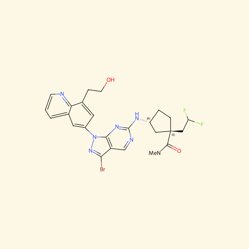 CNC(=O)[C@@]1(CC(F)F)CC[C@@H](Nc2ncc3c(Br)nn(-c4cc(CCO)c5ncccc5c4)c3n2)C1